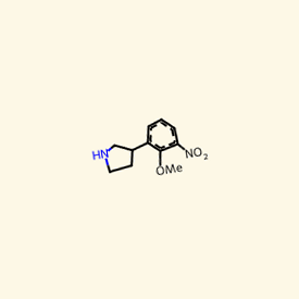 COc1c(C2CCNC2)cccc1[N+](=O)[O-]